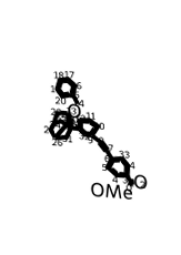 COC(=O)c1ccc(C#Cc2ccc(OCc3ccccc3)c(C34CC5CC(CC(C5)C3)C4)c2)cc1